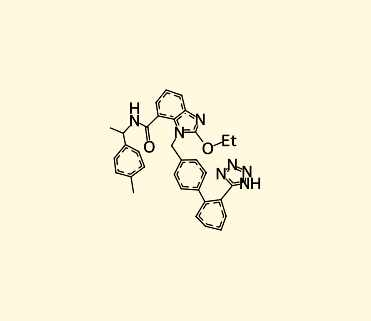 CCOc1nc2cccc(C(=O)NC(C)c3ccc(C)cc3)c2n1Cc1ccc(-c2ccccc2-c2nnn[nH]2)cc1